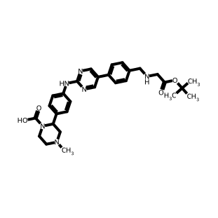 CN1CCN(C(=O)O)C(c2ccc(Nc3ncc(-c4ccc(CNCC(=O)OC(C)(C)C)cc4)cn3)cc2)C1